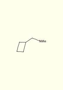 [CH2]NCC1CCC1